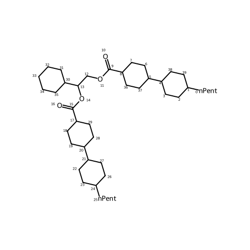 CCCCCC1CCC(C2CCC(C(=O)OCC(OC(=O)C3CCC(C4CCC(CCCCC)CC4)CC3)C3CCCCC3)CC2)CC1